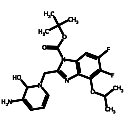 CC(C)Oc1c(F)c(F)cc2c1nc(CN1C=CC=C(N)C1O)n2C(=O)OC(C)(C)C